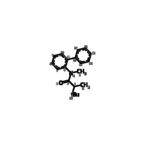 CC(C(=O)N(C)c1ccccc1-c1ccccc1)C(C)(C)C